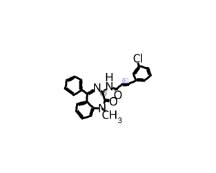 CN1C(=O)[C@H](NC(=O)/C=C/c2cccc(Cl)c2)N=C(c2ccccc2)c2ccccc21